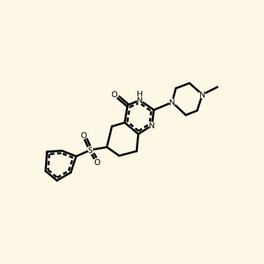 CN1CCN(c2nc3c(c(=O)[nH]2)CC(S(=O)(=O)c2ccccc2)CC3)CC1